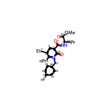 CCCc1c(CC)cc(C(=O)NC(C(=O)OC)C(C)C)c(=O)n1Cc1ccc(F)cc1